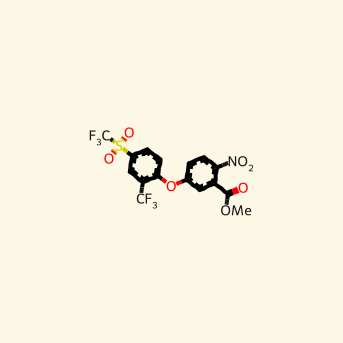 COC(=O)c1cc(Oc2ccc(S(=O)(=O)C(F)(F)F)cc2C(F)(F)F)ccc1[N+](=O)[O-]